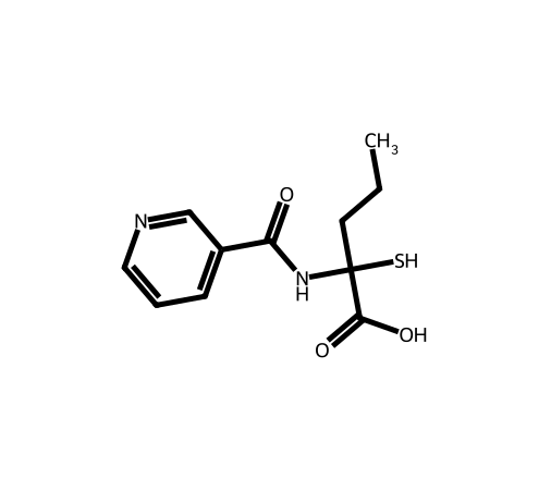 CCCC(S)(NC(=O)c1cccnc1)C(=O)O